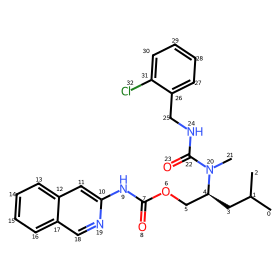 CC(C)C[C@@H](COC(=O)Nc1cc2ccccc2cn1)N(C)C(=O)NCc1ccccc1Cl